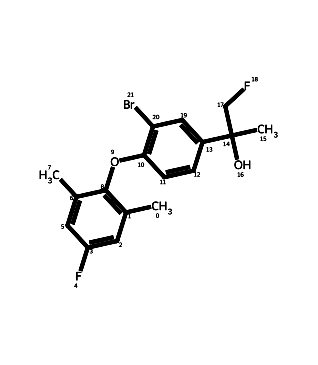 Cc1cc(F)cc(C)c1Oc1ccc(C(C)(O)CF)cc1Br